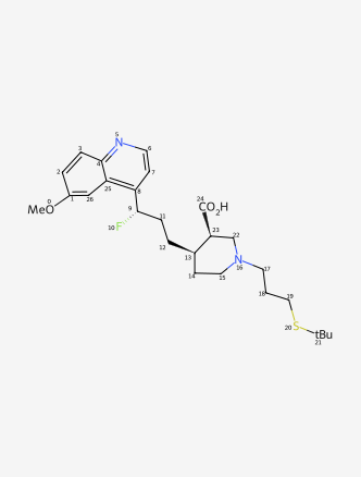 COc1ccc2nccc([C@@H](F)CC[C@@H]3CCN(CCCSC(C)(C)C)C[C@@H]3C(=O)O)c2c1